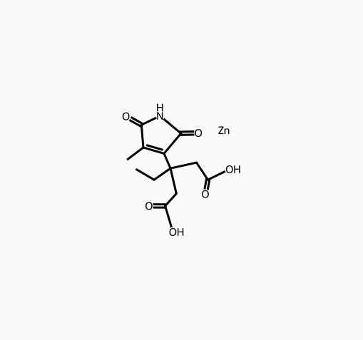 CCC(CC(=O)O)(CC(=O)O)C1=C(C)C(=O)NC1=O.[Zn]